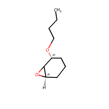 CCCCO[C@@H]1CCC[C@H]2OC12